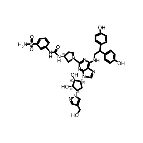 NS(=O)(=O)c1cccc(NC(=O)N[C@@H]2CCN(c3nc(NCC(c4ccc(O)cc4)c4ccc(O)cc4)c4ncn([C@@H]5C[C@H](n6cc(CO)cn6)[C@@H](O)[C@H]5O)c4n3)C2)c1